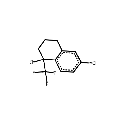 FC(F)(F)C1(Cl)CCCc2cc(Cl)ccc21